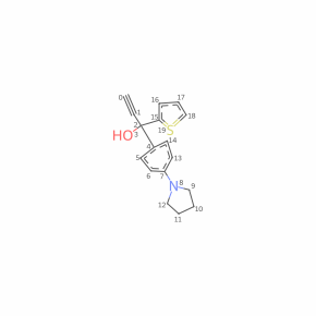 C#CC(O)(c1ccc(N2CCCC2)cc1)c1cccs1